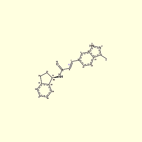 Cc1n[nH]c2cc(/C=C/C(=O)N[C@@H]3CCc4ccccc43)ccc12